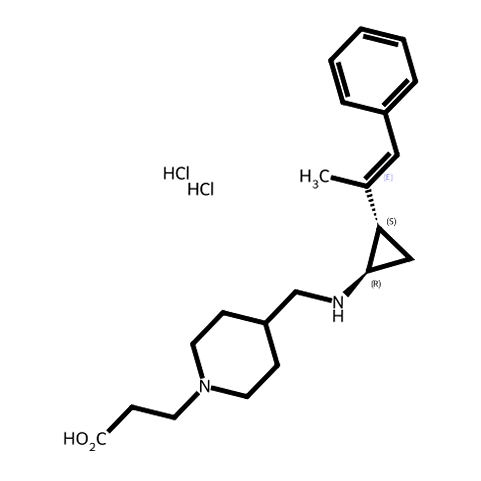 C/C(=C\c1ccccc1)[C@@H]1C[C@H]1NCC1CCN(CCC(=O)O)CC1.Cl.Cl